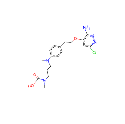 CN(CCCN(C)c1ccc(CCOc2cc(Cl)nnc2N)cc1)C(=O)O